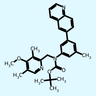 COc1c(C)cnc(CN(C(=O)OC(C)(C)C)c2cc(C)cc(-c3ccc4ncccc4c3)c2)c1C